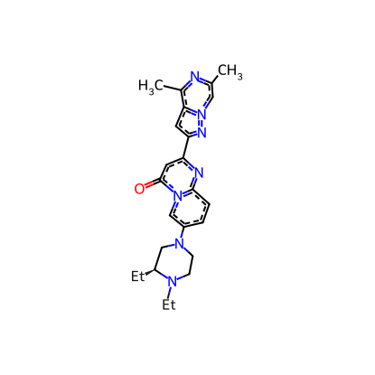 CC[C@H]1CN(c2ccc3nc(-c4cc5c(C)nc(C)cn5n4)cc(=O)n3c2)CCN1CC